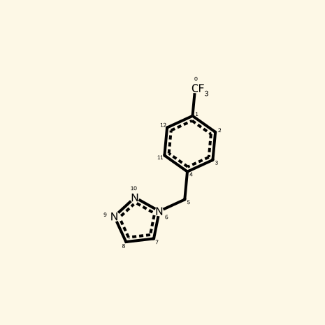 FC(F)(F)c1ccc(Cn2ccnn2)cc1